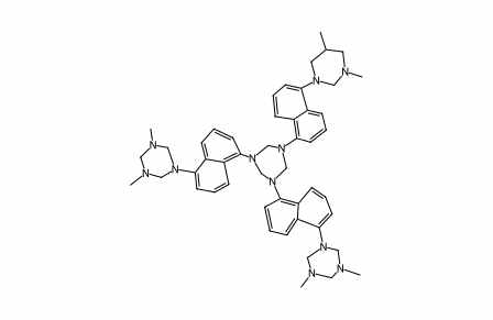 CC1CN(C)CN(c2cccc3c(N4CN(c5cccc6c(N7CN(C)CN(C)C7)cccc56)CN(c5cccc6c(N7CN(C)CN(C)C7)cccc56)C4)cccc23)C1